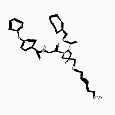 CCOC(=O)CC/C=C/COC[C@@]1(F)C[C@@H](C(=O)OCc2ccccc2)N(C(=O)CNC(=O)c2ccc(Oc3ccccc3)cc2)C1